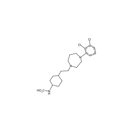 O=C(O)NC1CCC(CCN2CCCN(c3cccc(Cl)c3Cl)CC2)CC1